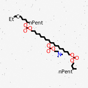 CCC=C=CCCC(CCCCC)OC(=O)OCCCCCCCCC(CCCCCCCCOC(=O)OCCC(C)CCCCC)OC(=O)OCCN(C)C